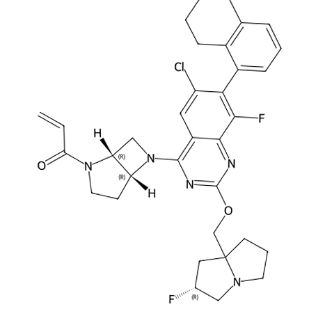 C=CC(=O)N1CC[C@@H]2[C@H]1CN2c1nc(OCC23CCCN2C[C@H](F)C3)nc2c(F)c(-c3cccc4c3CCCC4)c(Cl)cc12